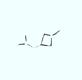 CC(C)(C)[S+]([O-])NC1CN(C(=O)O)C1